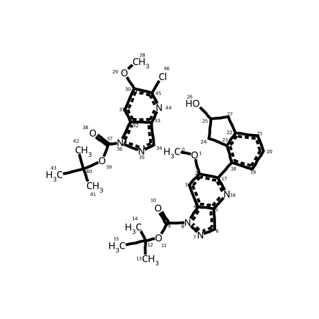 COc1cc2c(cnn2C(=O)OC(C)(C)C)nc1-c1cccc2c1CC(O)C2.COc1cc2c(cnn2C(=O)OC(C)(C)C)nc1Cl